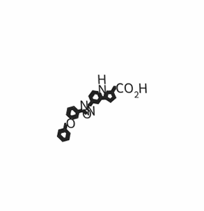 O=C(O)CC1CCc2c1[nH]c1ccc(-c3noc(-c4cccc(OCc5ccccc5)c4)n3)cc21